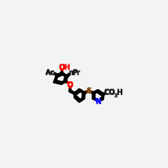 CCCc1c(OCc2cccc(Sc3cncc(C(=O)O)c3)c2)ccc(C(C)=O)c1O